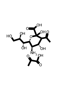 CC(=O)C(=O)O.CC(=O)C1[C@H](O)[C@@H](N)[C@H]([C@H](O)[C@H](O)CO)OC1(O)C(=O)O